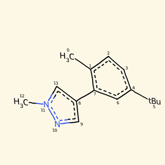 Cc1ccc(C(C)(C)C)cc1-c1cnn(C)c1